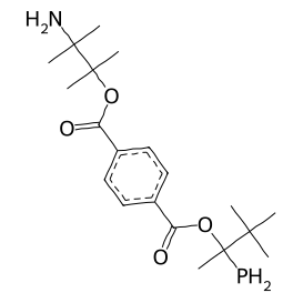 CC(C)(C)C(C)(P)OC(=O)c1ccc(C(=O)OC(C)(C)C(C)(C)N)cc1